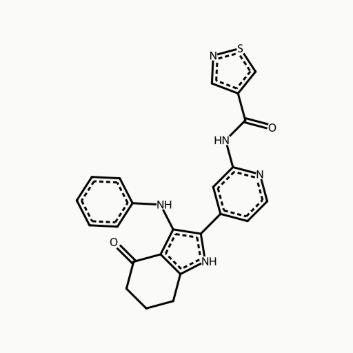 O=C(Nc1cc(-c2[nH]c3c(c2Nc2ccccc2)C(=O)CCC3)ccn1)c1cnsc1